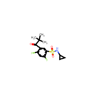 CC(C)(C)C(=O)c1cc(S(=O)(=O)NC2CC2)c(F)cc1F